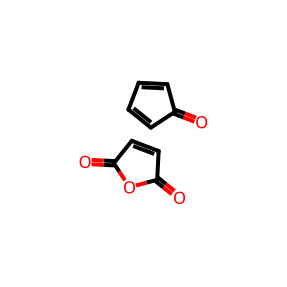 O=C1C=CC(=O)O1.O=C1C=CC=C1